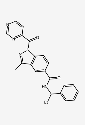 CCC(NC(=O)c1ccc2c(c1)c(C)nn2C(=O)c1ccncn1)c1ccccc1